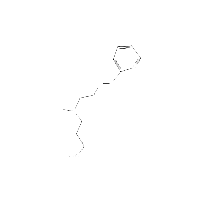 CNCCCN(C)CCSSc1ccccn1